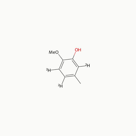 [2H]c1c([2H])c(OC)c(O)c([2H])c1C